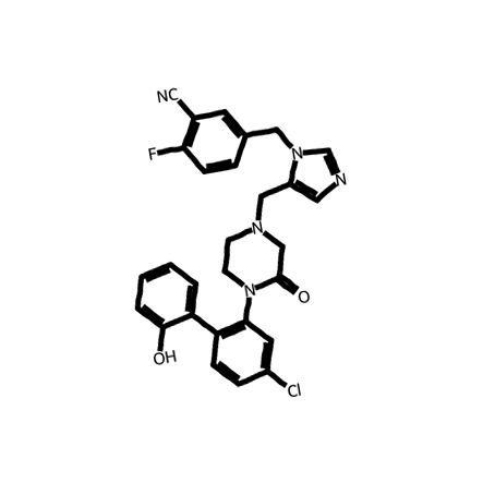 N#Cc1cc(Cn2cncc2CN2CCN(c3cc(Cl)ccc3-c3ccccc3O)C(=O)C2)ccc1F